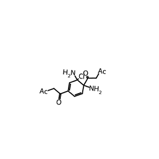 CC(=O)CC(=O)C1=CC(N)(Cl)C(N)(C(=O)CC(C)=O)C=C1